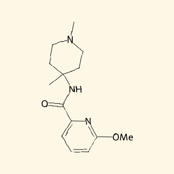 COc1cccc(C(=O)NC2(C)CCN(C)CC2)n1